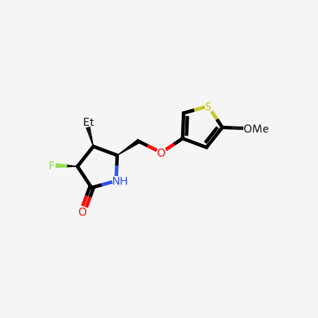 CC[C@@H]1[C@H](F)C(=O)N[C@@H]1COc1csc(OC)c1